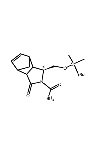 BC(=O)N1C(=O)C2C3C=CC(C3)C2[C@H]1CO[Si](C)(C)C(C)(C)C